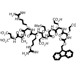 CSCC[C@H](NC(=O)[C@H](CCC(=O)O)NC(=O)[C@H](CCC(=O)O)NC(=O)OCC1c2ccccc2-c2ccccc21)C(=O)N[C@@H](CC(=O)O)C(=O)N[C@@H](CCCNC(=N)N)C(=O)N[C@@H](CCCNC(=N)N)C(=O)N[C@@H](C)C(=O)N[C@@H](CC(=O)O)C(=O)O